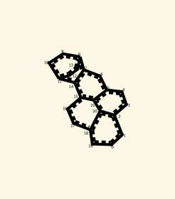 c1cc2ccc3cc4c5ccc(cc5)c4c4ccc(c1)c2c34